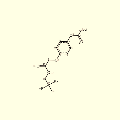 CCC(C)C(=O)Oc1ccc(OCC(=O)OCC(C)(F)F)cc1